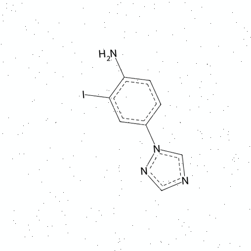 Nc1ccc(-n2cncn2)cc1I